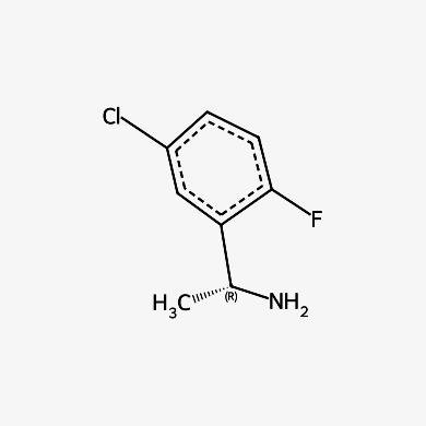 C[C@@H](N)c1cc(Cl)ccc1F